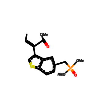 CC=C(C(=O)OC)c1csc2ccc(CP(=O)(OC)OC)cc12